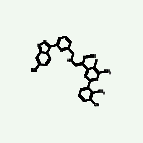 Cc1c(C#N)cccc1-c1nc(N)c(F)c(/C(=C/NCc2cccc(-c3nnc4cc(C#N)ccn34)n2)N=N)n1